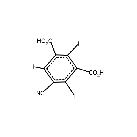 N#Cc1c(I)c(C(=O)O)c(I)c(C(=O)O)c1I